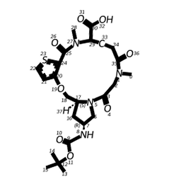 CN1CC(=O)N2C[C@H](NC(=O)OC(C)(C)C)C[C@H]2COc2ccsc2C(=O)N(C)C(C(=O)O)CCC1=O